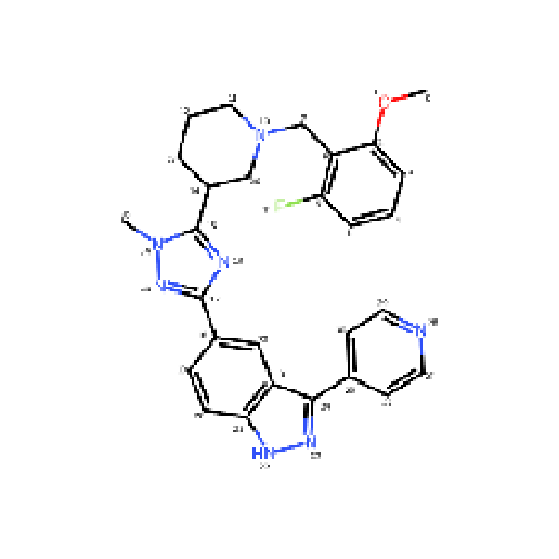 COc1cccc(F)c1CN1CCCC(c2nc(-c3ccc4[nH]nc(-c5ccncc5)c4c3)nn2C)C1